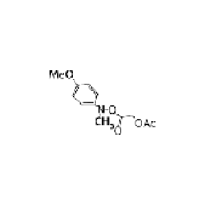 COc1ccc(N(C)OC(=O)COC(C)=O)cc1